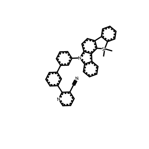 C[Si]1(C)c2ccccc2-c2ccc3c(c21)c1ccccc1n3-c1cccc(-c2cccc(-c3ncccc3C#N)c2)c1